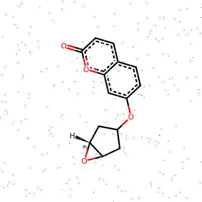 O=c1ccc2ccc(OC3CC4O[C@@H]4C3)cc2o1